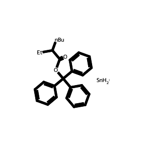 CCCCC(CC)C(=O)OC(c1ccccc1)(c1ccccc1)c1ccccc1.[SnH2]